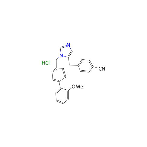 COc1ccccc1-c1ccc(Cn2cncc2Cc2ccc(C#N)cc2)cc1.Cl